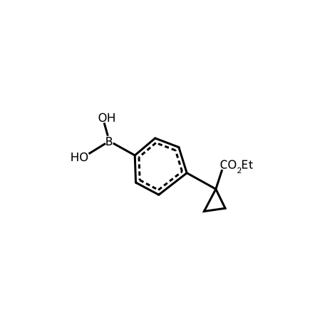 CCOC(=O)C1(c2ccc(B(O)O)cc2)CC1